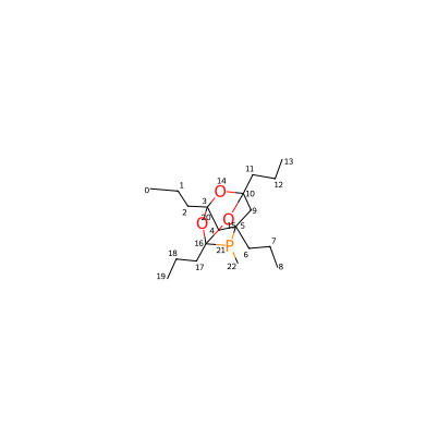 CCCC12CC3(CCC)CC(CCC)(O1)OC(CCC)(O2)P3C